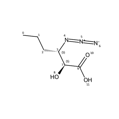 CCC[C@H](N=[N+]=[N-])[C@H](O)C(=O)O